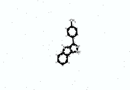 Cc1ccc(-c2n[nH]c3c2sc2ccccc23)cc1